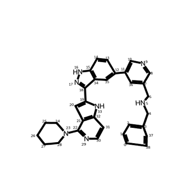 c1ccc(CNCc2cncc(-c3ccc4[nH]nc(-c5cc6c(N7CCCCC7)nccc6[nH]5)c4c3)c2)cc1